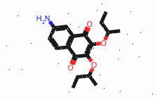 CCC(C)OC1=C(OC(C)CC)C(=O)c2cc(N)ccc2C1=O